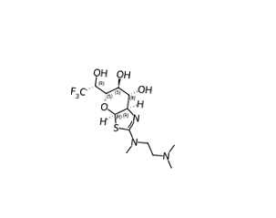 CN(C)CCN(C)C1=N[C@@H]2[C@@H](O)[C@H](O)[C@@H]([C@@H](O)C(F)(F)F)O[C@@H]2S1